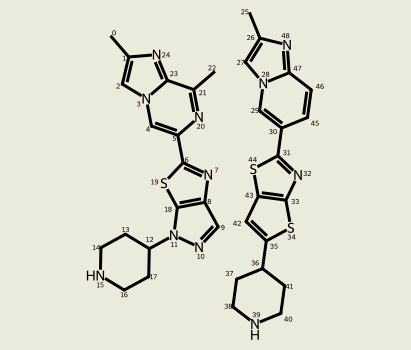 Cc1cn2cc(-c3nc4cnn(C5CCNCC5)c4s3)nc(C)c2n1.Cc1cn2cc(-c3nc4sc(C5CCNCC5)cc4s3)ccc2n1